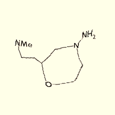 CNCC1CN(N)CCO1